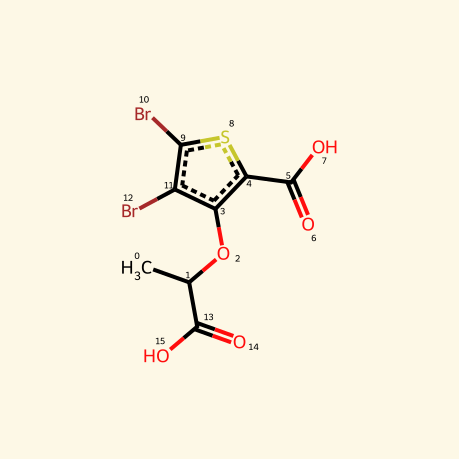 CC(Oc1c(C(=O)O)sc(Br)c1Br)C(=O)O